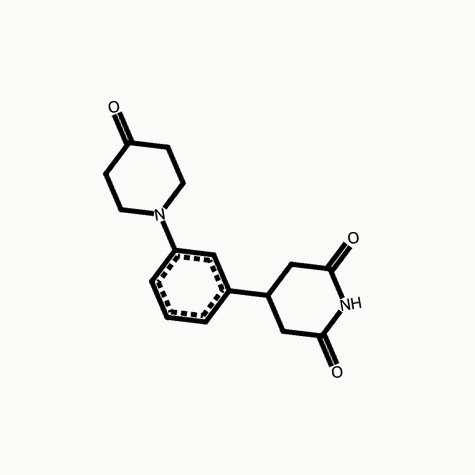 O=C1CCN(c2cccc(C3CC(=O)NC(=O)C3)c2)CC1